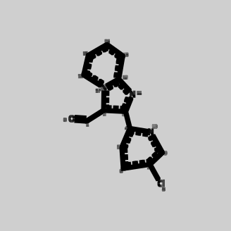 O=Cc1c(-c2ccc(Cl)cn2)nc2ccccn12